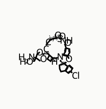 C[C@@H]1[C@@H](C)CCC[C@H](C2OCC(N)(CO)CO2)C2CC[C@H]2CN2C[C@@]3(CCCc4cc(Cl)ccc43)COc3ccc(cc32)C(=O)NS1(=O)=O